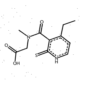 CCc1cc[nH]c(=S)c1C(=O)N(C)CC(=O)O